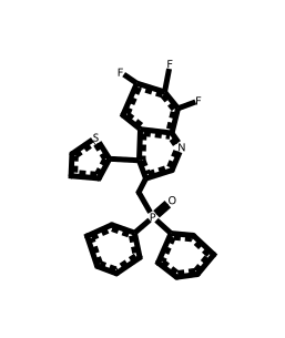 O=P(Cc1cnc2c(F)c(F)c(F)cc2c1-c1cccs1)(c1ccccc1)c1ccccc1